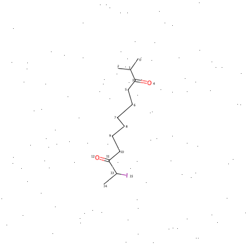 CC(C)C(=O)CCCCCCC(=O)C(C)I